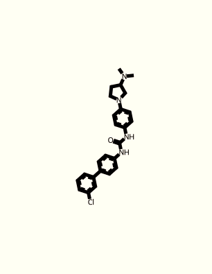 CN(C)C1CCN(c2ccc(NC(=O)Nc3ccc(-c4cccc(Cl)c4)cc3)cc2)C1